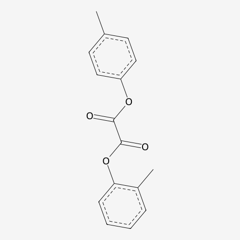 Cc1ccc(OC(=O)C(=O)Oc2ccccc2C)cc1